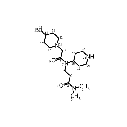 CN(C)C(=O)CCN(C(=O)CN1CCC(C(C)(C)C)CC1)C1CCNCC1